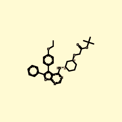 CCOc1ccc(-c2c(-c3ccccc3)oc3ncnc(N[C@H]4CCC[C@H](OCC(=O)OC(C)(C)C)C4)c23)cc1